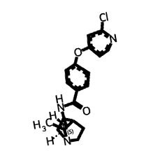 C[C@H]1[C@H](NC(=O)c2ccc(Oc3ccnc(Cl)c3)cc2)C2CCN1CC2